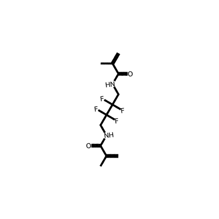 C=C(C)C(=O)NCC(F)(F)C(F)(F)CNC(=O)C(=C)C